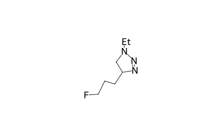 CCN1CC(CCCF)N=N1